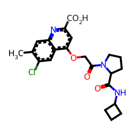 Cc1cc2nc(C(=O)O)cc(OCC(=O)N3CCCC3C(=O)NC3CCC3)c2cc1Cl